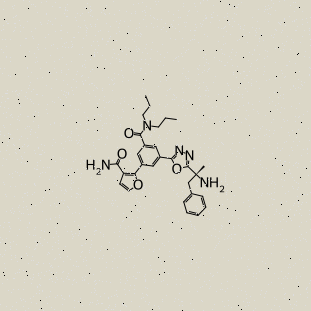 CCCN(CCC)C(=O)c1cc(-c2nnc([C@](C)(N)Cc3ccccc3)o2)cc(-c2occc2C(N)=O)c1